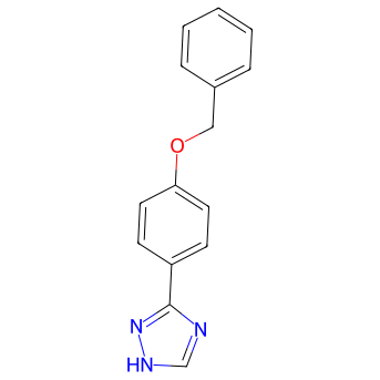 c1ccc(COc2ccc(-c3nc[nH]n3)cc2)cc1